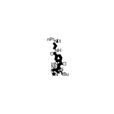 CCCN(CC)CCCNC(=O)c1ccc2c(Cl)c(-c3nn(C(C)(C)C)c4ncnc(N)c34)[nH]c2c1